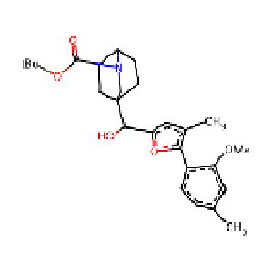 COc1cc(C)ccc1-c1oc(C(O)C23CCC(CC2)N(C(=O)OC(C)(C)C)C3)cc1C